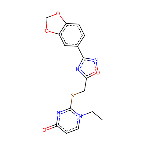 CCn1ccc(=O)nc1SCc1nc(-c2ccc3c(c2)OCO3)no1